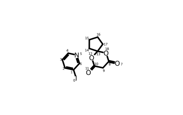 Ic1cccnc1.O=C1CC(=O)OC2(CCCC2)O1